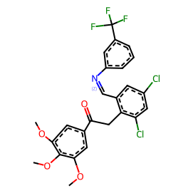 COc1cc(C(=O)Cc2c(Cl)cc(Cl)cc2/C=N\c2cccc(C(F)(F)F)c2)cc(OC)c1OC